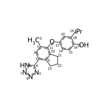 Cc1cc(-c2nnn[nH]2)c2c(c1Oc1ccc(O)c(C(C)C)c1)CCC2